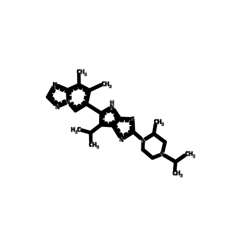 Cc1c(-c2[nH]c3sc(N4CCN(C(C)C)CC4C)nc3c2C(C)C)cn2ncnc2c1C